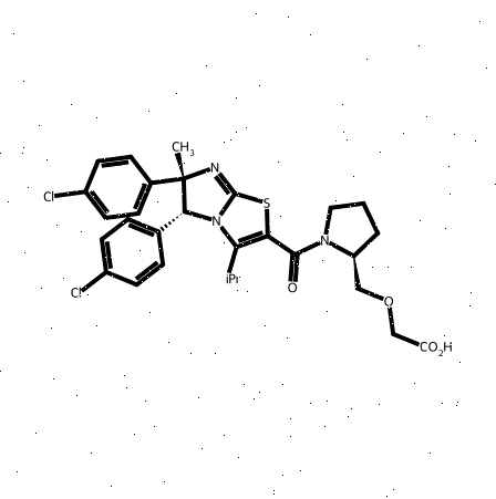 CC(C)C1=C(C(=O)N2CCC[C@H]2COCC(=O)O)SC2=N[C@@](C)(c3ccc(Cl)cc3)[C@@H](c3ccc(Cl)cc3)N21